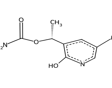 C[C@@H](OC(N)=O)c1cc(F)cnc1O